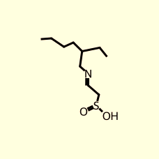 CCCCC(CC)CN=CCS(=O)O